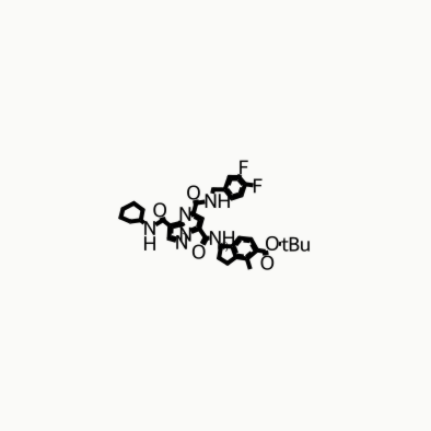 Cc1c(C(=O)OC(C)(C)C)ccc2c1CC[C@@H]2NC(=O)c1cc(C(=O)NCc2ccc(F)c(F)c2)nc2c(C(=O)NC3CCCCC3)cnn12